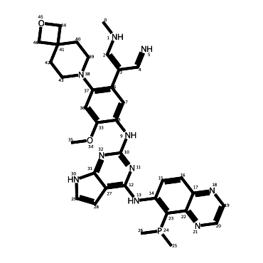 CN/C=C(\C=N)c1cc(Nc2nc(Nc3ccc4nccnc4c3P(C)C)c3cc[nH]c3n2)c(OC)cc1N1CCC2(CC1)COC2